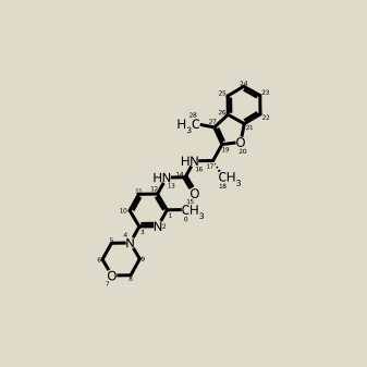 Cc1nc(N2CCOCC2)ccc1NC(=O)N[C@@H](C)c1oc2ccccc2c1C